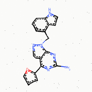 Nc1nc(-c2ccco2)c2cnn(Cc3cccc4[nH]ccc34)c2n1